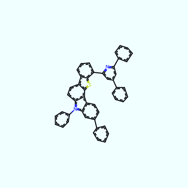 c1ccc(-c2cc(-c3ccccc3)nc(-c3cccc4c3sc3c4ccc4c3c3ccc(-c5ccccc5)cc3n4-c3ccccc3)c2)cc1